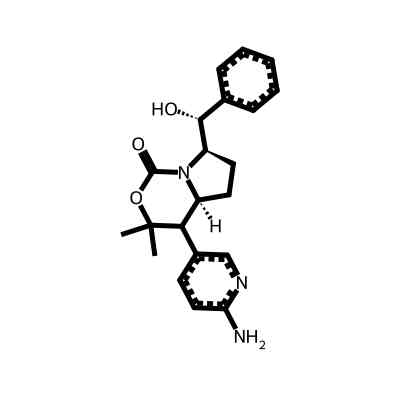 CC1(C)OC(=O)N2[C@@H]([C@H](O)c3ccccc3)CC[C@H]2C1c1ccc(N)nc1